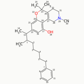 CC(CCCCCc1ccccc1)C(C)c1cc(O)c2c(c1)OC(C)(C)C1=C2CN(C#N)CC1